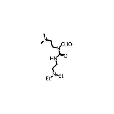 CCN(CC)CCNC(=O)N([C]=O)CCN(C)C